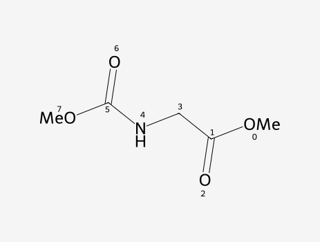 COC(=O)CNC(=O)OC